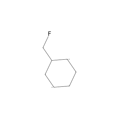 FCC1[CH]CC[CH]C1